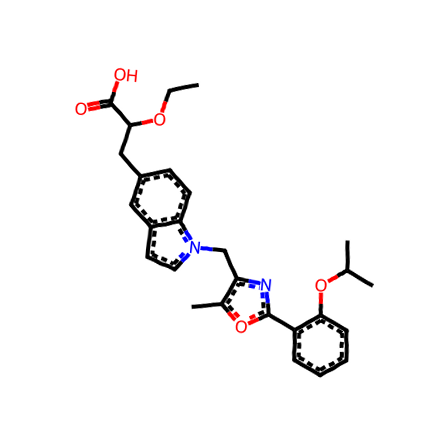 CCOC(Cc1ccc2c(ccn2Cc2nc(-c3ccccc3OC(C)C)oc2C)c1)C(=O)O